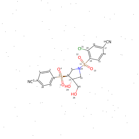 N#Cc1ccc(S(=O)(=O)[C@H]2CN(S(=O)(=O)c3ccc(C#N)cc3Cl)C[C@@]2(O)CO)cc1